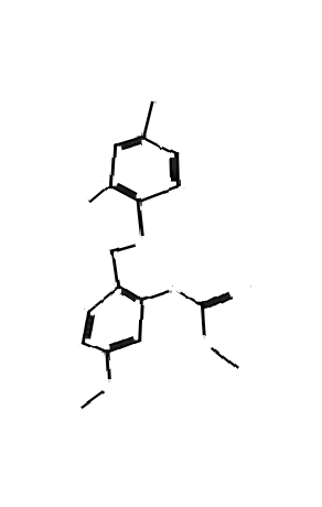 COc1ccc(COc2ccc(C)cc2C)c(NC(=O)SC)c1